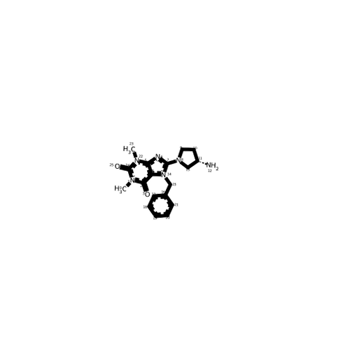 Cn1c(=O)c2c(nc(N3CC[C@H](N)C3)n2Cc2ccccc2)n(C)c1=O